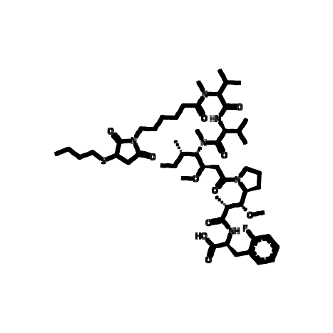 CCCCSC1CC(=O)N(CCCCCC(=O)N(C)C(C(=O)N[C@H](C(=O)N(C)[C@@H]([C@@H](C)CC)[C@@H](CC(=O)N2CCC[C@H]2[C@H](OC)[C@@H](C)C(=O)N[C@@H](Cc2ccccc2F)C(=O)O)OC)C(C)C)C(C)C)C1=O